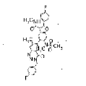 CNC(=O)c1c(-c2ccc(F)cc2)oc2cc(N(C)S(C)(=O)=O)c(-c3cc4c(=O)n(Cc5ccc(F)cc5)nnc4cc3C)cc12